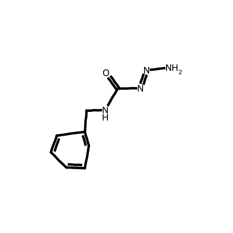 NN=NC(=O)NCc1ccccc1